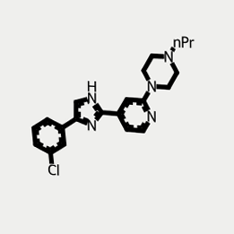 CCCN1CCN(c2cc(-c3nc(-c4cccc(Cl)c4)c[nH]3)ccn2)CC1